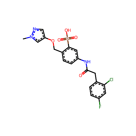 Cn1cc(OCc2ccc(NC(=O)Cc3ccc(F)cc3Cl)cc2S(=O)(=O)O)cn1